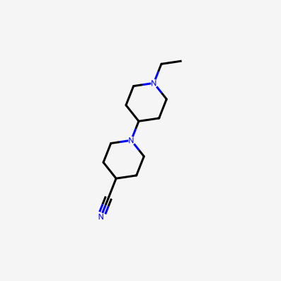 CCN1CCC(N2CCC(C#N)CC2)CC1